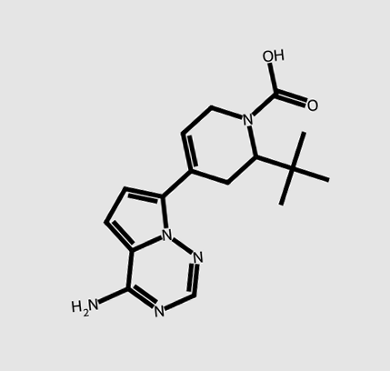 CC(C)(C)C1CC(c2ccc3c(N)ncnn23)=CCN1C(=O)O